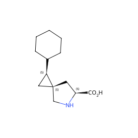 O=C(O)[C@@H]1C[C@@]2(CN1)C[C@H]2C1CCCCC1